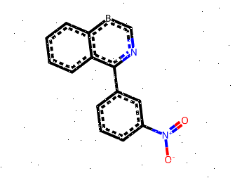 O=[N+]([O-])c1cccc(-c2ncbc3ccccc23)c1